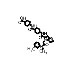 CCN(C(=O)Cn1c(C(=O)NC2CCC(C(=O)NC3CCC(C(=O)O)CC3)CC2)cc2sccc21)c1cccc(C)c1